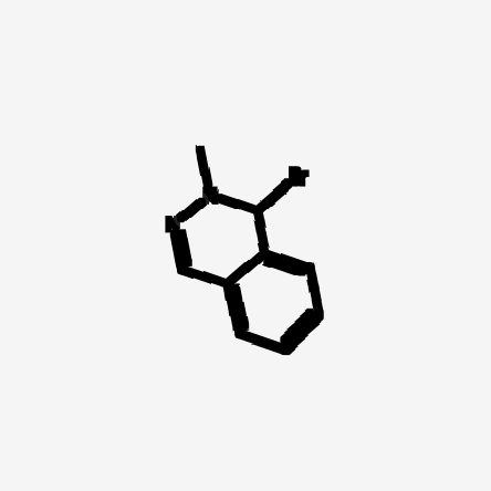 CN1N=Cc2ccccc2C1Br